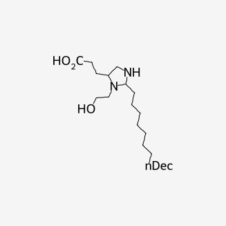 CCCCCCCCCCCCCCCCCC1NCC(CCC(=O)O)N1CCO